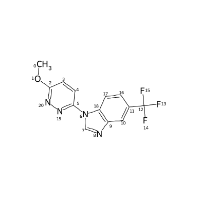 COc1ccc(-n2cnc3cc(C(F)(F)F)ccc32)nn1